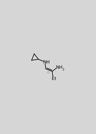 CC/C(N)=C/NC1CC1